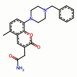 Cc1ccc(N2CCN(Cc3ccccc3)CC2)c2oc(=O)c(CC(N)=O)cc12